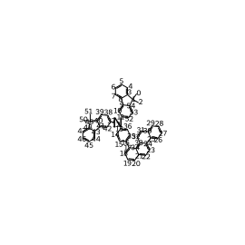 CC1(C)c2ccccc2-c2cc(N(c3ccc(-c4cccc5ccc6c7ccccc7ccc6c45)cc3)c3ccc4c(c3)-c3ccccc3C4(C)C)ccc21